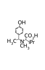 CC(C)C(C(=O)O)N(C)C(C)c1ccc(O)cc1